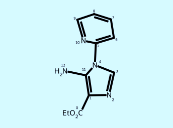 CCOC(=O)c1ncn(-c2ccccn2)c1N